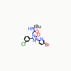 CC(C)(C)NC(=O)Cn1c(-c2cccc(Cl)c2)nn(-c2ccc(Br)cn2)c1=O